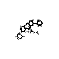 NC1=N[C@@]2(CO1)c1cc(-c3cccnc3)ccc1Oc1ncc(N3CCOCC3)cc12